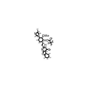 COc1cc(C=Cc2nc3oc4ccccc4c3c(=O)[nH]2)ccc1-n1cnc(C)c1.O=C(O)C(F)(F)F